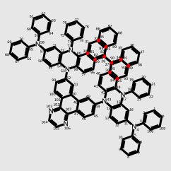 c1ccc(N(c2ccccc2)c2ccc3c(c2)N(c2ccccc2)c2cc(N(c4ccccc4)c4ccccc4)ccc2N3c2ccc3c(c2)c2cc(N4c5ccc(N(c6ccccc6)c6ccccc6)cc5N(c5ccccc5)c5cc(N(c6ccccc6)c6ccccc6)ccc54)ccc2c2nccnc32)cc1